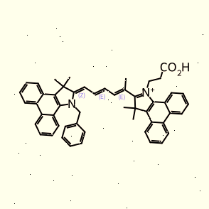 C\C(=C/C=C/C=C1\N(Cc2ccccc2)c2c(c3ccccc3c3ccccc23)C1(C)C)C1=[N+](CCC(=O)O)c2c(c3ccccc3c3ccccc23)C1(C)C